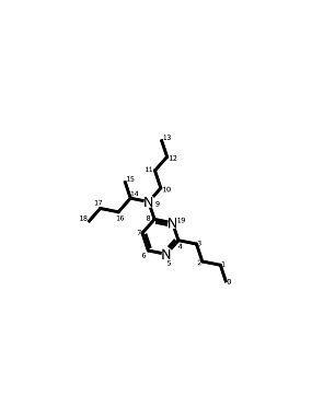 CCCCc1nccc(N(CCCC)C(C)CCC)n1